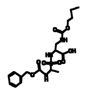 CCCCOC(=O)NCC(NS(=O)(=O)C(C)NC(=O)OCc1ccccc1)C(=O)O